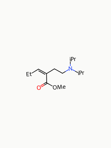 CCC=C(CCN(C(C)C)C(C)C)C(=O)OC